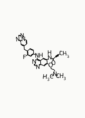 CC#CC(=O)Nc1cc2c(Nc3ccc(Cc4ccn5ncnc5c4)c(F)c3)ncnc2cc1OCCN(C)C